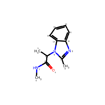 CNC(=O)C(C)n1c(C)nc2ccccc21